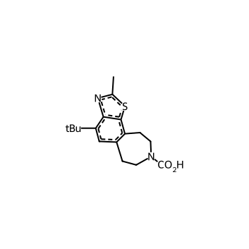 Cc1nc2c(C(C)(C)C)cc3c(c2s1)CCN(C(=O)O)CC3